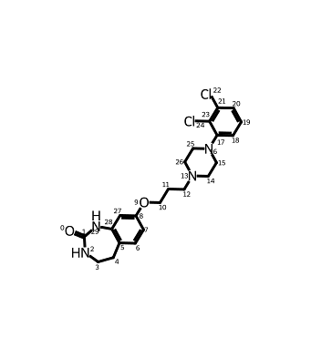 O=C1NCCc2ccc(OCCCN3CCN(c4cccc(Cl)c4Cl)CC3)cc2N1